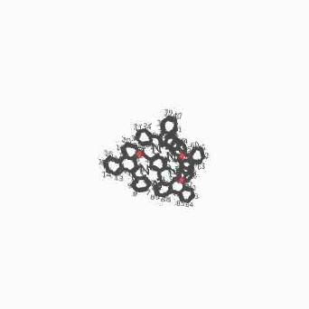 N#Cc1c(-n2c3ccccc3c3c4ccccc4c4ccccc4c32)c(C#N)c(-n2c3ccccc3c3c4ccccc4c4ccccc4c32)c(-n2c3ccccc3c3c4ccccc4c4ccccc4c32)c1-n1c2ccccc2c2c3ccccc3c3ccccc3c21